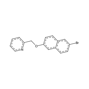 Brc1ccc2cc(OCc3ccccn3)ccc2c1